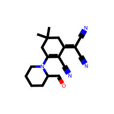 CC1(C)CC(=C(C#N)C#N)C(C#N)=C(N2CCCCC2C=O)C1